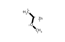 [CH2]COC.[Zn]